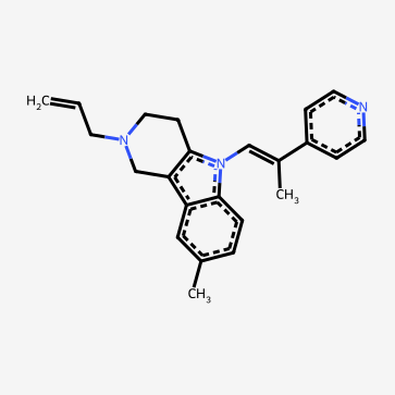 C=CCN1CCc2c(c3cc(C)ccc3n2C=C(C)c2ccncc2)C1